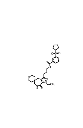 CCn1nc(CCCOC(=O)c2cccc(S(=O)(=O)C3CCCC3)c2)c2c1C(=O)NCC1(CCOCC1)C2